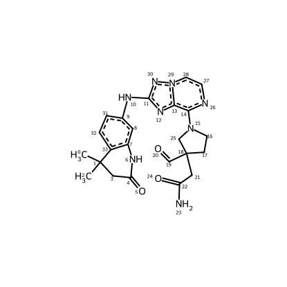 CC1(C)CC(=O)Nc2cc(Nc3nc4c(N5CCC(C=O)(CC(N)=O)C5)nccn4n3)ccc21